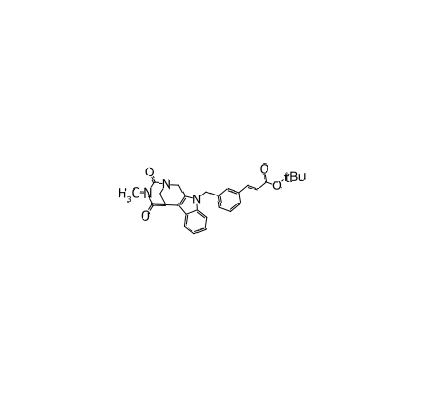 CN1C(=O)C2CN(Cc3c2c2ccccc2n3Cc2cccc(/C=C/C(=O)OC(C)(C)C)c2)C1=O